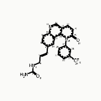 NC(=O)NC/C=C/c1ccc2ncc3ccc(=O)n(-c4cccc(C(F)(F)F)c4)c3c2c1